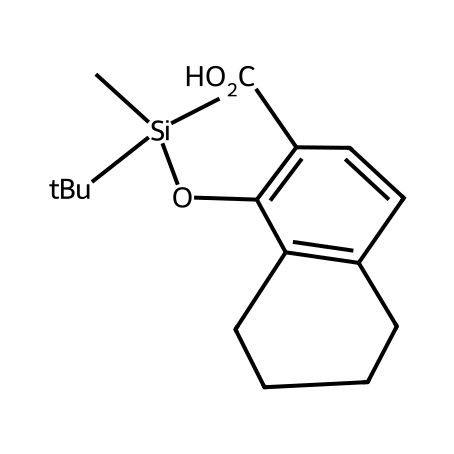 CC(C)(C)[Si](C)(C)Oc1c(C(=O)O)ccc2c1CCCC2